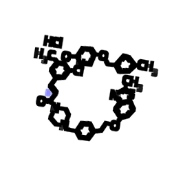 Cc1ccc(COc2ccc(Oc3c(C)cc(/C=C/C(=O)N4CCN(Cc5ccc(CCOc6ccc7sc(C)nc7c6)cc5)CC4)cc3Cl)nc2)cc1.Cl